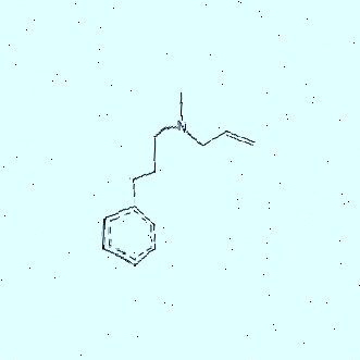 C=CCN(C)CC[CH]c1ccccc1